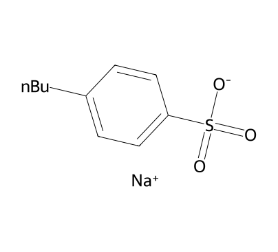 CCCCc1ccc(S(=O)(=O)[O-])cc1.[Na+]